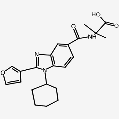 CC(C)(NC(=O)c1ccc2c(c1)nc(-c1ccoc1)n2C1CCCCC1)C(=O)O